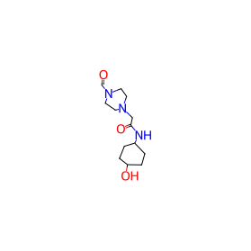 O=CN1CCN(CC(=O)NC2CCC(O)CC2)CC1